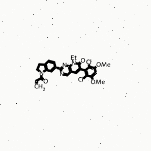 C=CC(=O)N1CCc2ccc(-c3ncc4cc(-c5c(Cl)c(OC)cc(OC)c5Cl)c(=O)n(CC)c4n3)cc21